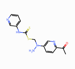 CC(=O)c1ccc(N(N)CSC(=S)Nc2cccnc2)cn1